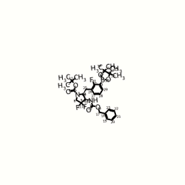 CC(C)(C)OC(=O)N1CC(F)(F)[C@H](NC(=O)OCc2ccccc2)[C@@H]1Cc1cccc(B2OC(C)(C)C(C)(C)O2)c1F